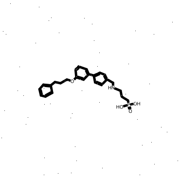 O=P(O)(O)CCCNCc1ccc(-c2cccc(OCCCc3ccccc3)c2)cc1